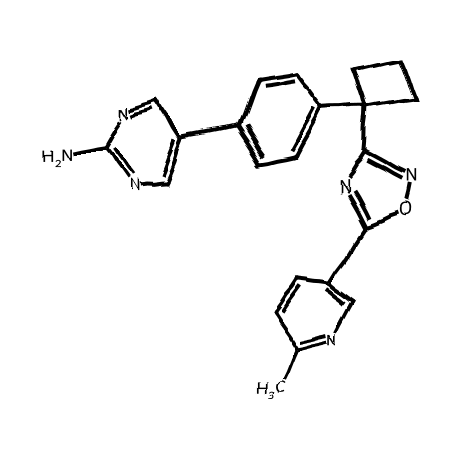 Cc1ccc(-c2nc(C3(c4ccc(-c5cnc(N)nc5)cc4)CCC3)no2)cn1